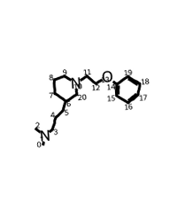 CN(C)CCCC1CCCN(CCOc2ccccc2)C1